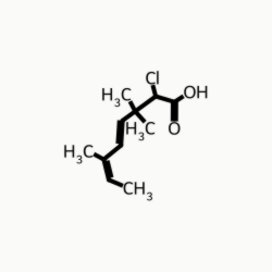 CC=C(C)C=CC(C)(C)C(Cl)C(=O)O